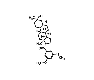 COc1cc(OC)cc(C(=O)[C@H]2CC[C@H]3[C@@H]4CC[C@@H]5C[C@](C)(O)CC[C@]5(C)[C@H]4CC[C@]23C)c1